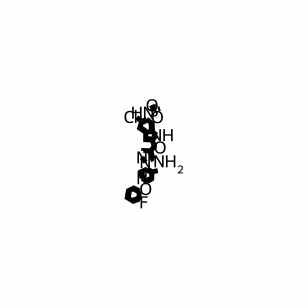 Cc1cc(Oc2ccccc2F)ncc1-n1ncc(C(=O)c2cc3cc(Cl)c(NS(C)(=O)=O)cc3[nH]2)c1N